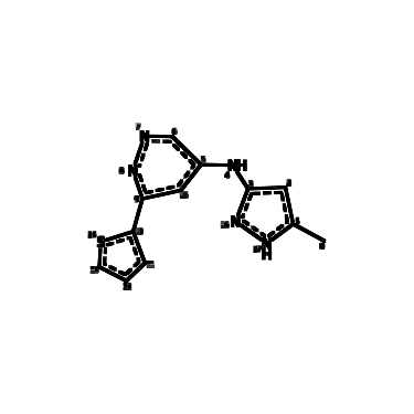 Cc1cc(Nc2cnnc(-c3cccs3)c2)n[nH]1